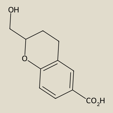 O=C(O)c1ccc2c(c1)CCC(CO)O2